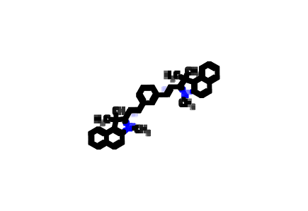 C[N+]1=C(/C=C/c2cccc(/C=C/C3=[N+](C)c4ccc5ccccc5c4C3(C)C)c2)C(C)(C)c2c1ccc1ccccc21